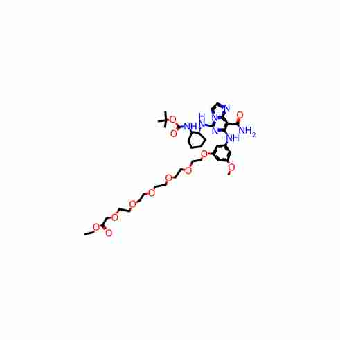 CCOC(=O)COCCOCCOCCOCCOCCOc1cc(Nc2nc(N[C@H]3CCCC[C@H]3NC(=O)OC(C)(C)C)n3ccnc3c2C(N)=O)cc(OC)c1